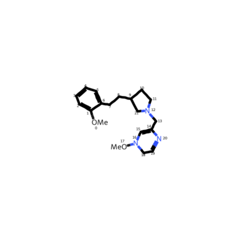 COc1ccccc1CCC1CCN(CC2=CN(OC)CC=N2)C1